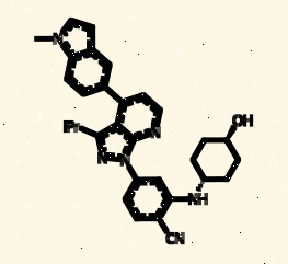 CC(C)c1nn(-c2ccc(C#N)c(N[C@H]3CC[C@H](O)CC3)c2)c2nccc(-c3ccc4c(ccn4C)c3)c12